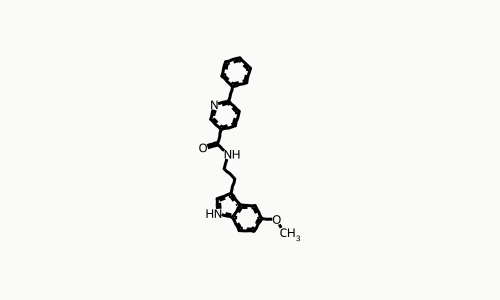 COc1ccc2[nH]cc(CCNC(=O)c3ccc(-c4ccccc4)nc3)c2c1